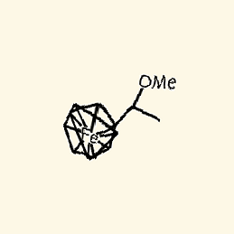 COC(C)[C]12[CH]3[CH]4[CH]5[CH]1[Fe]45321678[CH]2[CH]1[CH]6[CH]7[CH]28